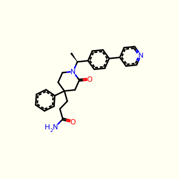 C[C@@H](c1ccc(-c2ccncc2)cc1)N1CCC(CCC(N)=O)(c2ccccc2)CC1=O